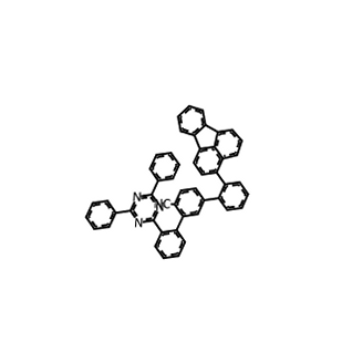 N#Cc1ccc(-c2ccccc2-c2ccc3c4c(cccc24)-c2ccccc2-3)cc1-c1ccccc1-c1nc(-c2ccccc2)nc(-c2ccccc2)n1